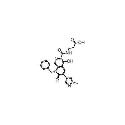 Cn1cc(-c2cc3c(O)c(C(=O)NCCC(=O)O)ncc3n(Cc3ccccc3)c2=O)cn1